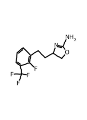 NC1=NC(CCc2cccc(C(F)(F)F)c2F)CO1